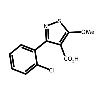 COc1snc(-c2ccccc2Cl)c1C(=O)O